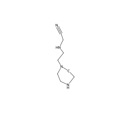 N#CCNCCN1CCNCC1